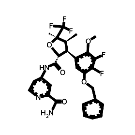 COc1c([C@H]2[C@H](C(=O)Nc3ccnc(C(N)=O)c3)O[C@@](C)(C(F)(F)F)[C@H]2C)cc(OCc2ccccc2)c(F)c1F